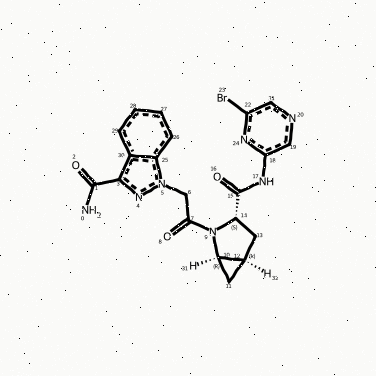 NC(=O)c1nn(CC(=O)N2[C@@H]3C[C@@H]3C[C@H]2C(=O)Nc2cncc(Br)n2)c2ccccc12